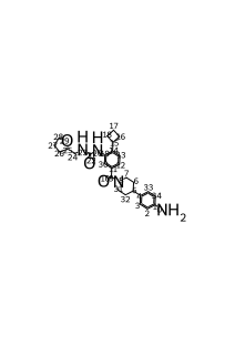 Nc1ccc(C2CCN(C(=O)c3ccc(C4CCC4)c(NC(=O)NC[C@H]4CCCO4)c3)CC2)cc1